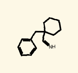 N=CC1(Cc2ccccc2)CCCCC1